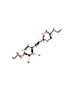 CCCC1=CCC(C#Cc2ccc(OCC)c(F)c2F)OC1